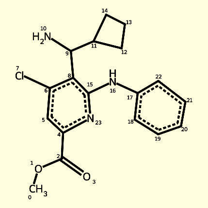 COC(=O)c1cc(Cl)c(C(N)C2CCC2)c(Nc2ccccc2)n1